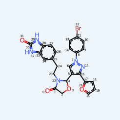 O=C1COC(c2cn(-c3ccc(Br)cc3)nc2-c2ccco2)N1CCc1ccc2[nH]c(=O)[nH]c2c1